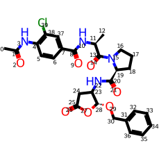 CC(=O)Nc1ccc(C(=O)N[C@@H](C)C(=O)N2CCC[C@H]2C(=O)NC2CC(=O)O[C@H]2OCc2ccccc2)cc1Cl